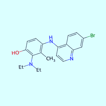 CCN(CC)c1c(O)ccc(Nc2ccnc3cc(Br)ccc23)c1C